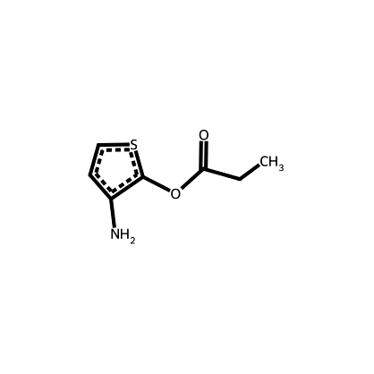 CCC(=O)Oc1sccc1N